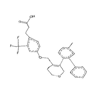 Cc1ccc(C2=C(COc3ccc(CCC(=O)O)c(C(F)(F)F)c3)CCOC2)c(-c2ccccc2)c1